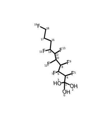 OC(O)(O)C(F)C(F)C(F)C(F)C(F)C(F)CCCF